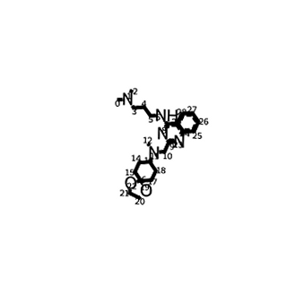 CN(C)CCCNc1nc(CN(C)C2CCC3(CC2)OCCO3)nc2ccccc12